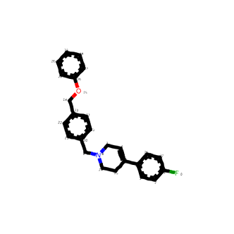 Fc1ccc(C2=CCN(Cc3ccc(COc4[c]cccc4)cc3)CC2)cc1